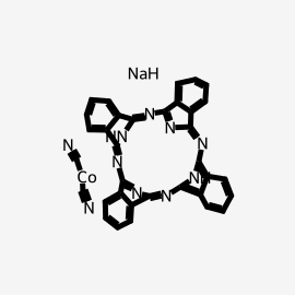 N#[C][Co][C]#N.[NaH].c1ccc2c(c1)-c1nc-2nc2[nH]c(nc3nc(nc4[nH]c(n1)c1ccccc41)-c1ccccc1-3)c1ccccc21